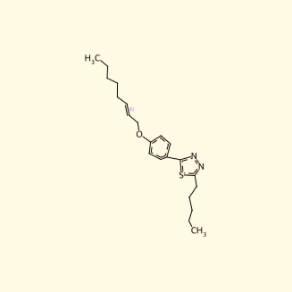 CCCCC/C=C/COc1ccc(-c2nnc(CCCCC)s2)cc1